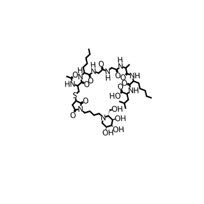 CCCCCC(NC(=O)C(C)NC(=O)CNC(=O)CNC(=O)C(CCCCC)NC(=O)C(CSC1CC(=O)N(CCCCN2C[C@@H](O)[C@@H](O)[C@H](O)[C@H]2CO)C1=O)NC(C)=O)C(=O)NC(CC(C)C)C(=O)O